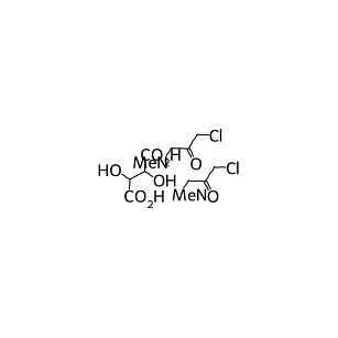 CNCC(=O)CCl.CNCC(=O)CCl.O=C(O)C(O)C(O)C(=O)O